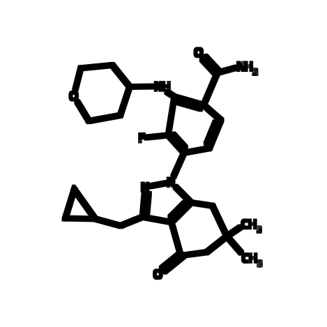 CC1(C)CC(=O)c2c(CC3CC3)nn(-c3ccc(C(N)=O)c(NC4CCOCC4)c3F)c2C1